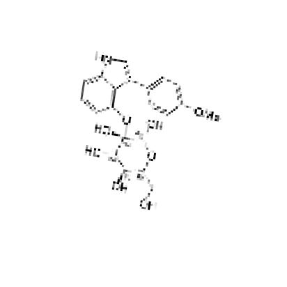 COc1ccc(-c2c[nH]c3cccc(O[C@]4(O)[C@H](O)O[C@H](CO)[C@@H](O)[C@@H]4O)c23)cc1